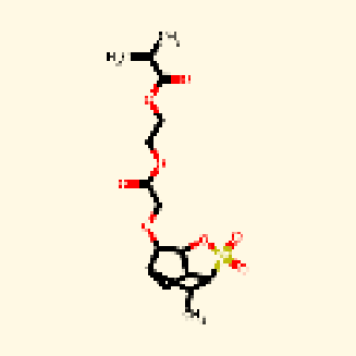 C=C(C)C(=O)OCCOC(=O)COC1C2CC3C1OS(=O)(=O)C3C2C